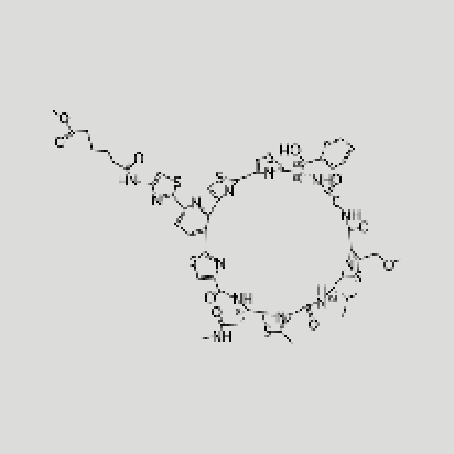 CNC(=O)C[C@@H]1NC(=O)c2csc(n2)-c2ccc(-c3nc(NC(=O)CCCCC(=O)OC)cs3)nc2-c2csc(n2)-c2csc(n2)[C@H]([C@@H](O)c2ccccc2)NC(=O)CNC(=O)c2nc(sc2COC)[C@H](C(C)C)NC(=O)c2nc1sc2C